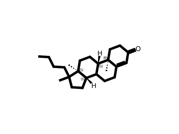 CCCCC1(C)CC[C@H]2C3CCC4=CC(=O)CC[C@]4(C)[C@H]3CC[C@@]21C